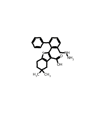 CC1(C)CCc2sc(-c3c(CNN)cccc3-c3ccccc3)c(C(=O)O)c2C1